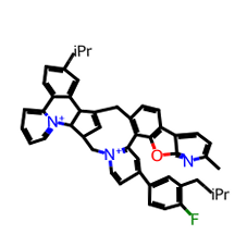 Cc1ccc2c(n1)oc1c3c(ccc12)CC1=CC(C[n+]2ccc(-c4ccc(F)c(CC(C)C)c4)cc2-3)C2C1c1cc(C(C)C)ccc1-c1cccc[n+]12